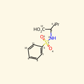 CC(C)C(NS(=O)(=O)c1ccccc1)C(=O)O